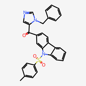 Cc1ccc(S(=O)(=O)n2c3ccccc3c3ccc(C(=O)c4cncn4Cc4ccccc4)cc32)cc1